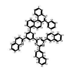 c1ccc(-c2nc3ccccc3c3c2ccc2c(-c4cc(-c5ccc6ccccc6n5)cc(-c5nc(-c6ccc7ccccc7c6)nc(-c6ccc7ccccc7c6)n5)c4)cccc23)cc1